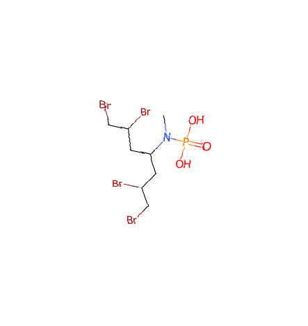 CN(C(CC(Br)CBr)CC(Br)CBr)P(=O)(O)O